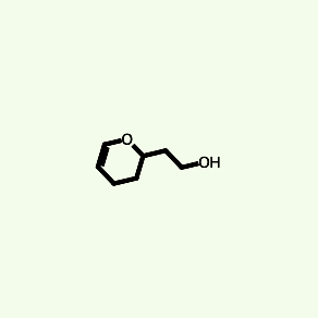 OCCC1CCC=CO1